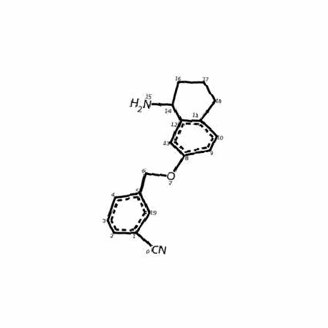 N#Cc1cccc(COc2ccc3c(c2)C(N)CCC3)c1